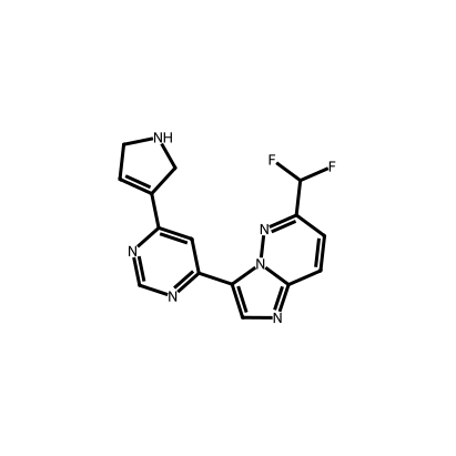 FC(F)c1ccc2ncc(-c3cc(C4=CCNC4)ncn3)n2n1